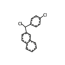 Clc1ccc(C(Cl)c2ccc3ccccc3c2)cc1